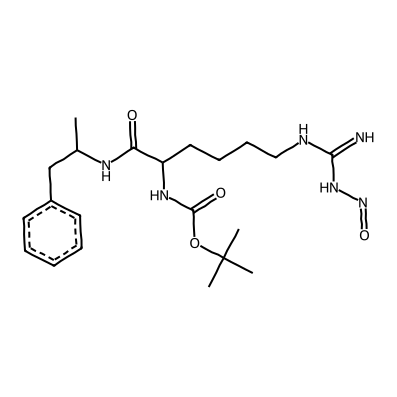 CC(Cc1ccccc1)NC(=O)C(CCCCNC(=N)NN=O)NC(=O)OC(C)(C)C